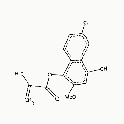 C=C(C)C(=O)Oc1c(OC)cc(O)c2cc(Cl)ccc12